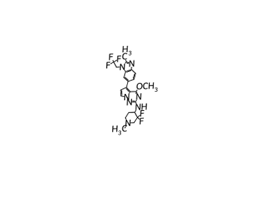 COc1nc(N[C@@H]2CCN(C)CC2(F)F)nn2ccc(-c3ccc4nc(C)n(CC(F)(F)F)c4c3)c12